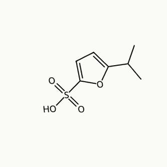 CC(C)c1ccc(S(=O)(=O)O)o1